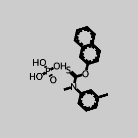 Cc1cccc(N(C)C(=S)Oc2ccc3ccccc3c2)c1.O=P(O)(O)O